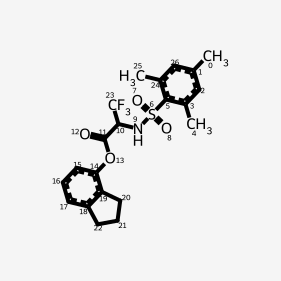 Cc1cc(C)c(S(=O)(=O)NC(C(=O)Oc2cccc3c2CCC3)C(F)(F)F)c(C)c1